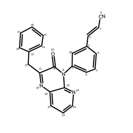 N#C/C=C/c1cccc(-n2c(=O)c(Cc3ccccc3)nc3cccnc32)c1